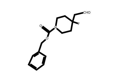 O=CCC1(F)CCN(C(=O)OCc2ccccc2)CC1